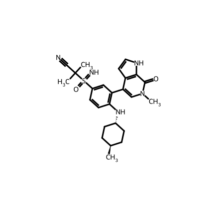 Cn1cc(-c2cc(S(=N)(=O)C(C)(C)C#N)ccc2N[C@H]2CC[C@H](C)CC2)c2cc[nH]c2c1=O